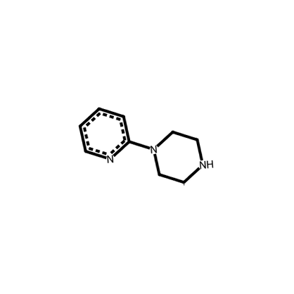 [CH]1CN(c2ccccn2)CCN1